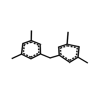 Cc1[c]c(Cc2[c]c(C)cc(C)c2)cc(C)c1